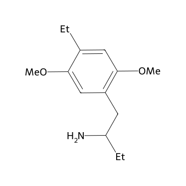 CCc1cc(OC)c(CC(N)CC)cc1OC